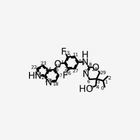 CC(C)C1(CO)CN=C(Nc2cc(F)c(Oc3ccnc4[nH]ccc34)c(F)c2)OC1